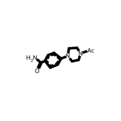 CC(=O)N1CCN(c2ccc(C(N)=O)cc2)CC1